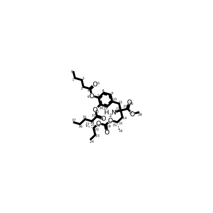 CCCCC(=O)Oc1ccc(CC(N)(C[C@H](C)OC(=O)O[C@@H](C)CC)C(=O)OC)cc1OC(=O)CCCC